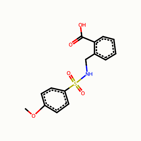 COc1ccc(S(=O)(=O)NCc2ccccc2C(=O)O)cc1